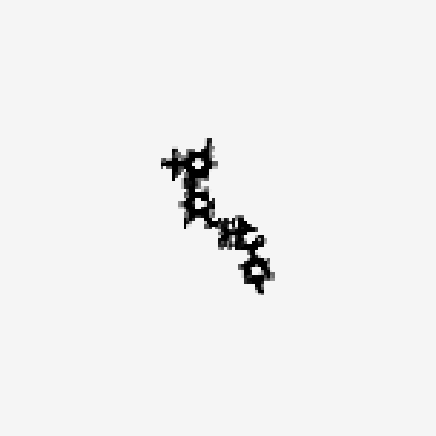 Cc1ncc(C(=O)NC2(C(=O)NCc3ncc(Nc4ccc(F)cc4C(F)(F)F)cc3F)CC2)cn1